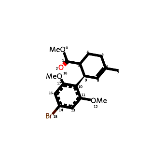 COC(=O)C1CCC(C)=C[C@H]1c1c(OC)cc(Br)cc1OC